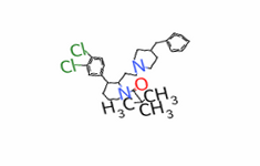 CC(C)(C)C(=O)N1CCCC(c2ccc(Cl)c(Cl)c2)C1CCN1CCC(Cc2ccccc2)CC1